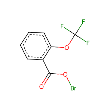 O=C(OBr)c1ccccc1OC(F)(F)F